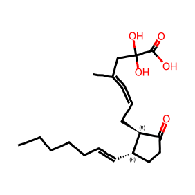 CCCCCC=C[C@H]1CCC(=O)[C@@H]1CC=C=C(C)CC(O)(O)C(=O)O